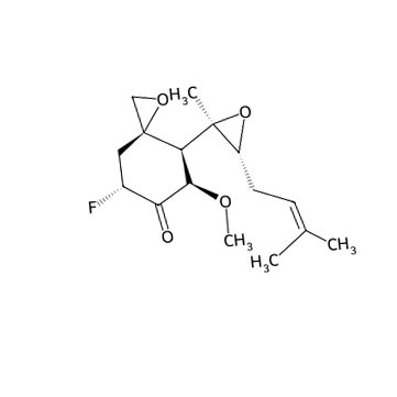 CO[C@H]1C(=O)[C@H](F)C[C@]2(CO2)[C@H]1[C@@]1(C)O[C@@H]1CC=C(C)C